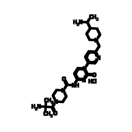 CC(N)C1CCN(Cc2ccc(-n3ccc(NC(=O)N4CCN(C(=O)C(C)(C)N)CC4)nc3=O)cn2)CC1.Cl